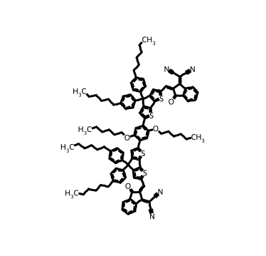 CCCCCCOc1cc(-c2cc3c(s2)-c2sc(/C=C4\C(=O)c5ccccc5C4=C(C#N)C#N)cc2C3(c2ccc(CCCCCC)cc2)c2ccc(CCCCCC)cc2)c(OCCCCCC)cc1-c1cc2c(s1)-c1sc(/C=C3\C(=O)c4ccccc4C3=C(C#N)C#N)cc1C2(c1ccc(CCCCCC)cc1)c1ccc(CCCCCC)cc1